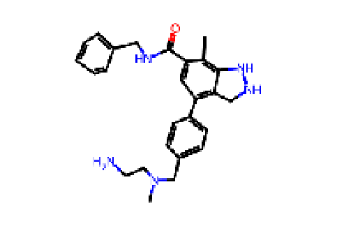 Cc1c(C(=O)NCc2ccccc2)cc(-c2ccc(CN(C)CCN)cc2)c2c1NNC2